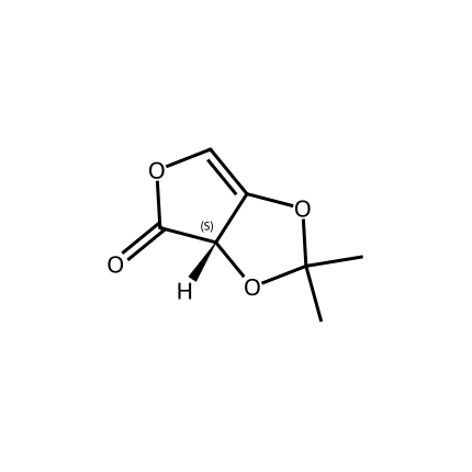 CC1(C)OC2=COC(=O)[C@H]2O1